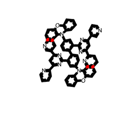 c1ccc(-c2cc(-c3cccnc3)nc(-c3cc(N4c5ccccc5Oc5ccccc54)ccc3-c3ccc(N4c5ccccc5Oc5ccccc54)cc3-c3nc(-c4cccnc4)cc(-c4ccccn4)n3)n2)nc1